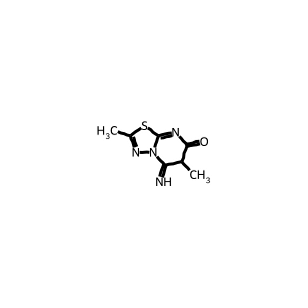 CC1=NN2C(=N)C(C)C(=O)N=C2S1